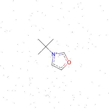 CC(C)(C)[n+]1ccoc1